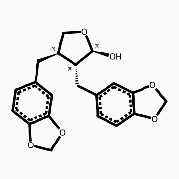 O[C@@H]1OC[C@H](Cc2ccc3c(c2)OCO3)[C@H]1Cc1ccc2c(c1)OCO2